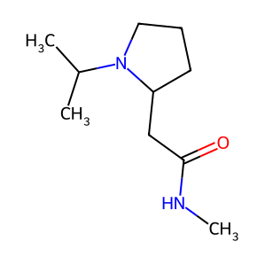 CNC(=O)CC1CCCN1C(C)C